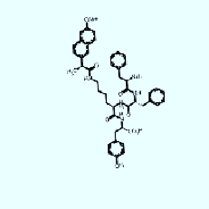 COc1ccc2cc([C@H](C)C(=O)NCCCC[C@@H](NC(=O)[C@@H](Cc3ccccc3)NC(=O)[C@H](N)Cc3ccccc3)C(=O)N[C@H](Cc3ccc(O)cc3)C(=O)O)ccc2c1